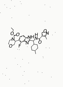 CCOC(=O)N1CCOCC1c1ccc2[nH]c(C(NC(=O)c3conc3C)C3CCC(C)CC3)nc2c1F